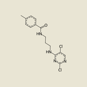 Cc1ccc(C(=O)NCCCNc2nc(Cl)ncc2Cl)cc1